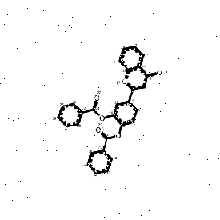 O=C(Oc1ccc(-c2cc(=O)c3ccccc3o2)cc1OC(=O)c1ccccc1)c1ccccc1